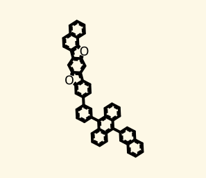 c1cc(-c2ccc3c(c2)oc2cc4c(cc23)oc2c3ccccc3ccc42)cc(-c2c3ccccc3c(-c3ccc4ccccc4c3)c3ccccc23)c1